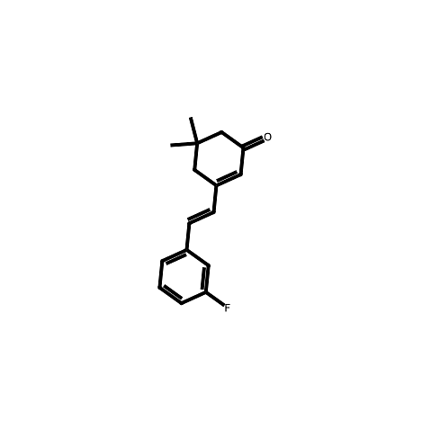 CC1(C)CC(=O)C=C(C=Cc2cccc(F)c2)C1